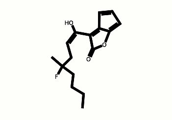 CCCCC(C)(F)C/C=C(/O)C1=C2C=CC=C2OC1=O